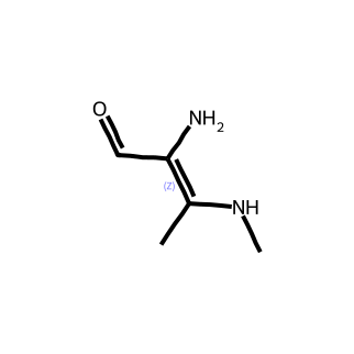 CN/C(C)=C(\N)C=O